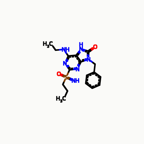 CCCS(=N)(=O)c1nc(NCC)c2[nH]c(=O)n(Cc3ccccc3)c2n1